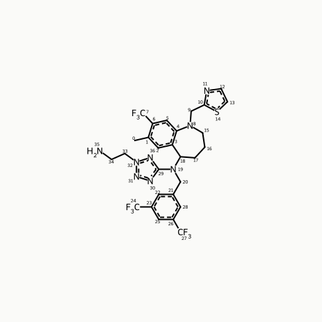 Cc1cc2c(cc1C(F)(F)F)N(Cc1nccs1)CCCC2N(Cc1cc(C(F)(F)F)cc(C(F)(F)F)c1)c1nnn(CCN)n1